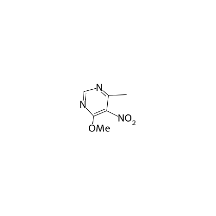 COc1ncnc(C)c1[N+](=O)[O-]